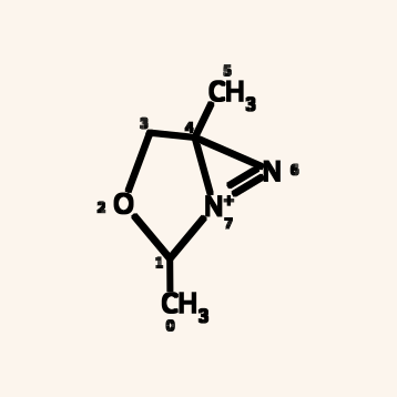 CC1OCC2(C)N=[N+]12